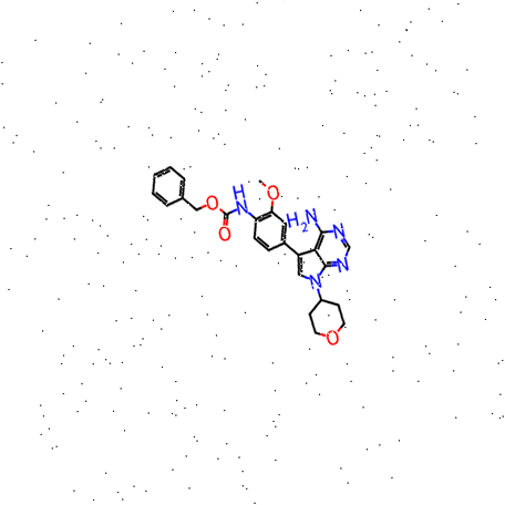 COc1cc(-c2cn(C3CCOCC3)c3ncnc(N)c23)ccc1NC(=O)OCc1ccccc1